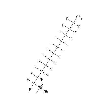 C[Si](C)(Br)C(F)(F)C(F)(F)C(F)(F)C(F)(F)C(F)(F)C(F)(F)C(F)(F)C(F)(F)C(F)(F)C(F)(F)C(F)(F)C(F)(F)F